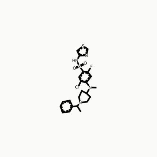 CC(c1ccccc1)N1CCC(N(C)c2cc(F)c(S(=O)(=O)Nc3cscn3)cc2Cl)CC1